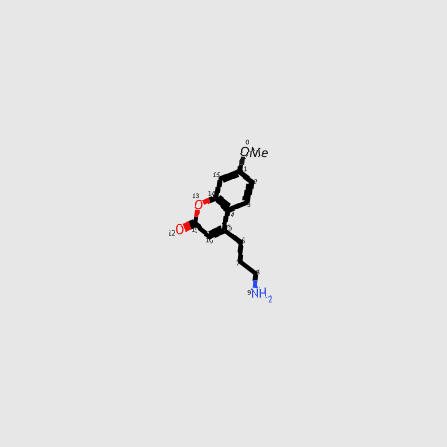 COc1ccc2c(CCCN)cc(=O)oc2c1